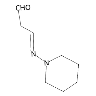 O=CCC=NN1CCCCC1